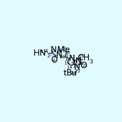 CN/C(=C\C=N)C(=O)N1CCCC(c2ccc3c(n2)n(C)c(=O)n3CC(C)(C)C)C1